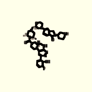 C[C@@H]1CN(C[C@H]2CN(c3ccc4c(c3)CN(C3CCCNC3)C4=O)CCO2)C[C@H](C)N1C(=O)N1CCN2c3cc(-c4cccc(F)c4O)nnc3NC[C@H]2C1